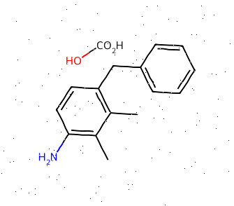 Cc1c(N)ccc(Cc2ccccc2)c1C.O=C(O)O